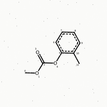 COC(=O)Oc1ccc[c]c1C